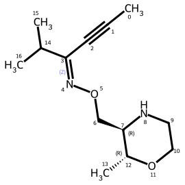 CC#C/C(=N\OC[C@H]1NCCO[C@@H]1C)C(C)C